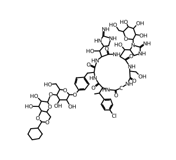 CC(c1ccc(Cl)cc1)C1NC(=O)CNC(=O)C(CO)NC(=O)C(C(O)C2CNC(=N)N2C2OC(CO)C(O)C(O)C2O)NC(=O)C(C(O)C2CNC(=N)N2)NC(=O)C(Cc2ccc(OC3OC(CO)C(OC4OC5COC(C6CCCCC6)OC5C(O)C4O)C(O)C3O)cc2)NC1=O